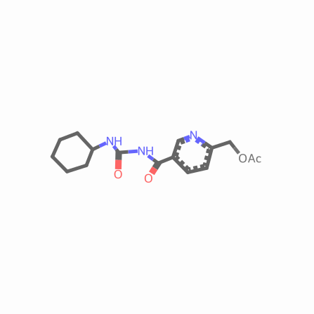 CC(=O)OCc1ccc(C(=O)NC(=O)NC2CCCCC2)cn1